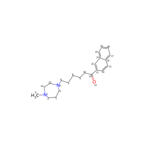 CN1CCCN(CCCCCC(=O)c2ccc3ccccc3c2)CC1